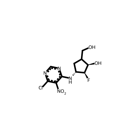 O=[N+]([O-])c1c(Cl)ncnc1N[C@@H]1CC(CO)[C@@H](O)[C@H]1F